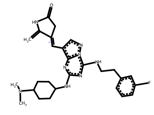 C=C1NC(=O)C/C1=C\c1cnn2c(NCCc3cccc(F)c3)nc(NC3CCC(N(C)C)CC3)nc12